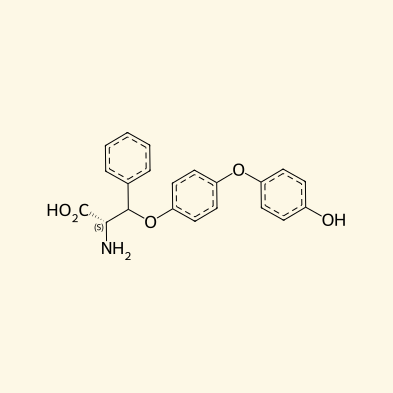 N[C@H](C(=O)O)C(Oc1ccc(Oc2ccc(O)cc2)cc1)c1ccccc1